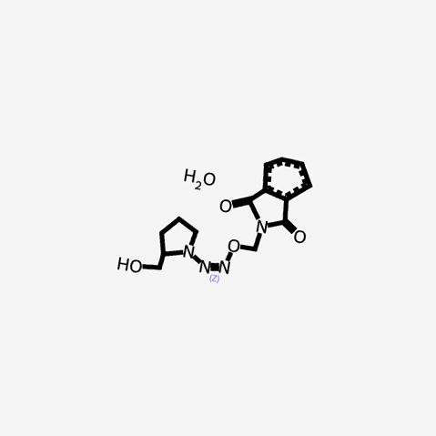 O.O=C1c2ccccc2C(=O)N1CO/N=N\N1CCCC1CO